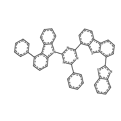 c1ccc(-c2nc(-c3cccc4c3sc3c(-c5nc6ccccc6s5)cccc34)nc(-n3c4ccccc4c4c(-c5ccccc5)cccc43)n2)cc1